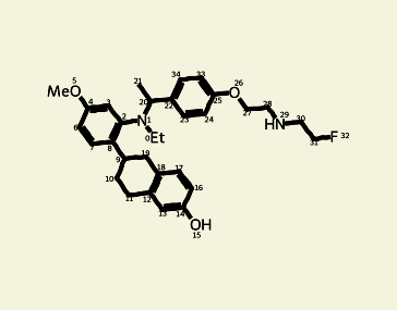 CCN(c1cc(OC)ccc1C1CCc2cc(O)ccc2C1)C(C)c1ccc(OCCNCCF)cc1